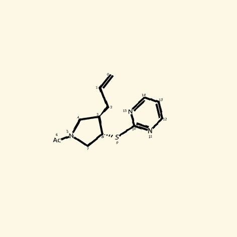 C=CC[C@@H]1CN(C(C)=O)C[C@H]1Sc1ncccn1